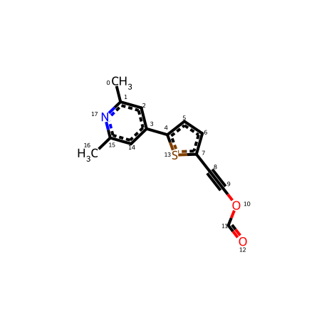 Cc1cc(-c2ccc(C#COC=O)s2)cc(C)n1